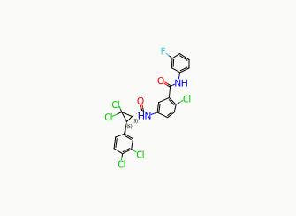 O=C(Nc1cccc(F)c1)c1cc(NC(=O)[C@@H]2[C@@H](c3ccc(Cl)c(Cl)c3)C2(Cl)Cl)ccc1Cl